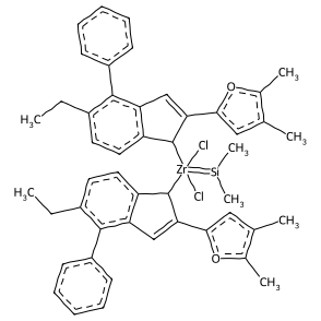 CCc1ccc2c(c1-c1ccccc1)C=C(c1cc(C)c(C)o1)[CH]2[Zr]([Cl])([Cl])([CH]1C(c2cc(C)c(C)o2)=Cc2c1ccc(CC)c2-c1ccccc1)=[Si](C)C